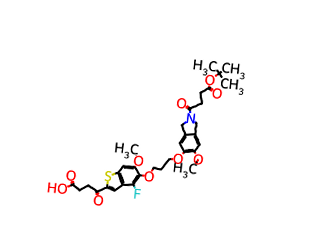 COc1cc2c(cc1OCCCOc1c(OC)cc3sc(C(=O)CCC(=O)O)cc3c1F)CN(C(=O)CCC(=O)OC(C)(C)C)C2